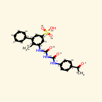 CC(=O)c1ccc(NC(=O)NC(=O)Nc2cc(S(=O)(=O)O)cc(-c3ccccc3)c2C)cc1